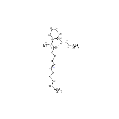 CCC(NCCC/C=C/CCCCN)C1CCCCN1CCCN